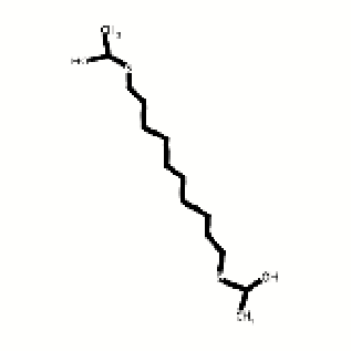 CC(O)SCCCCCCCCCCSC(C)O